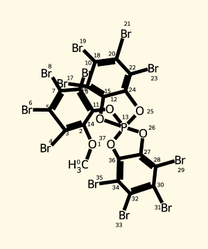 COc1c(Br)c(Br)c(Br)c(Br)c1OP12(Oc3c(Br)c(Br)c(Br)c(Br)c3O1)Oc1c(Br)c(Br)c(Br)c(Br)c1O2